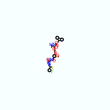 COc1cc(C(=O)NCC(=O)N(C)/N=C/c2csc3c(F)cccc23)ccc1OCCOC(=O)[C@@H](NC(=O)OCC1c2ccccc2-c2ccccc21)C(C)C